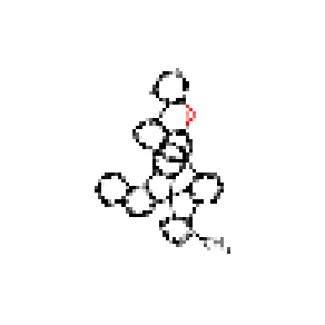 Cc1cccc2c1-c1cccc(-c3cc4c5c(cccc5c3)-c3ccccc3O4)c1C21c2ccccc2-c2c1ccc1ccccc21